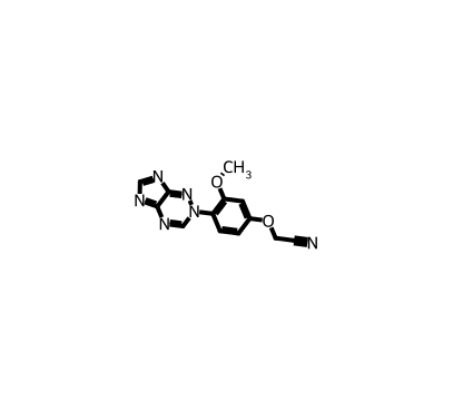 COc1cc(OCC#N)ccc1-n1cnc2ncnc-2n1